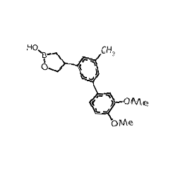 COc1ccc(-c2cc(C)cc(C3COB(O)C3)c2)cc1OC